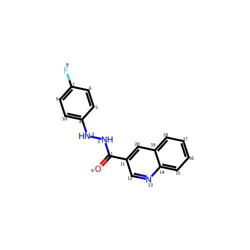 O=C(NNc1ccc(F)cc1)c1cnc2ccccc2c1